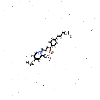 CCCCc1ccc(CCCC[n+]2ccc(C)cc2C)cc1.[Br-]